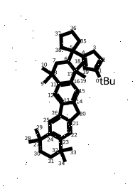 CC(C)(C)C1=CCC(C2(C3CC(C)(C)c4cc5c(cc4C3(C)C)Cc3cc4c(cc3-5)C(C)(C)CCC4(C)C)CCCC2)=C1